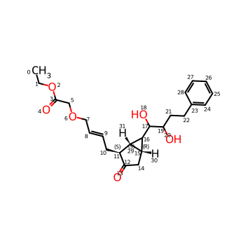 CCOC(=O)COCC=CC[C@@H]1C(=O)C[C@H]2C(C(O)C(O)CCc3ccccc3)[C@@H]12